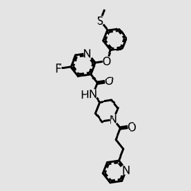 CSc1cccc(Oc2ncc(F)cc2C(=O)NC2CCN(C(=O)CCc3ccccn3)CC2)c1